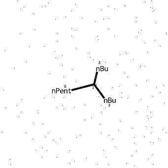 [CH2]CCCC[C](CCCC)CCCC